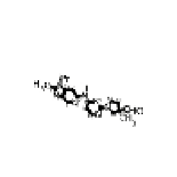 Cc1nc2cnc(Nc3ccnc(N4CCC(C)(C=O)C4)n3)cc2n1C(C)C